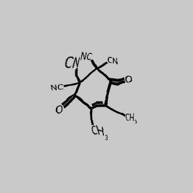 CC1=C(C)C(=O)C(C#N)(C#N)C(C#N)(C#N)C1=O